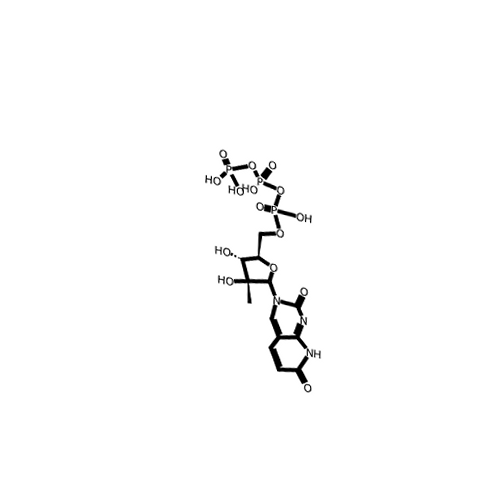 C[C@]1(O)C(n2cc3ccc(=O)[nH]c3nc2=O)O[C@H](COP(=O)(O)OP(=O)(O)OP(=O)(O)O)[C@H]1O